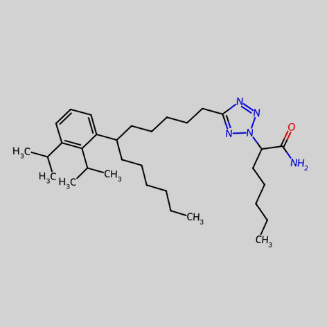 CCCCCCC(CCCCCc1nnn(C(CCCCC)C(N)=O)n1)c1cccc(C(C)C)c1C(C)C